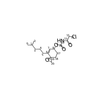 CC(C)CCCC1=CC(OC(=O)NC(=O)CCl)CCC12CO2